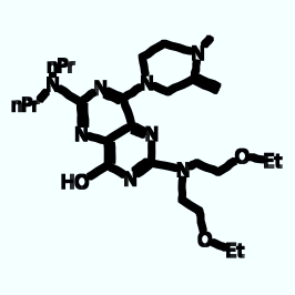 C=C1CN(c2nc(N(CCC)CCC)nc3c(O)nc(N(CCOCC)CCOCC)nc23)CCN1C